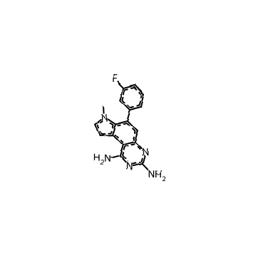 Cn1ccc2c3c(N)nc(N)nc3cc(-c3cccc(F)c3)c21